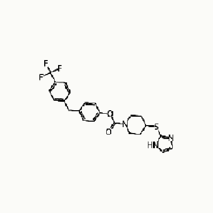 O=C(Oc1ccc(Cc2ccc(C(F)(F)F)cc2)cc1)N1CCC(Sc2ncc[nH]2)CC1